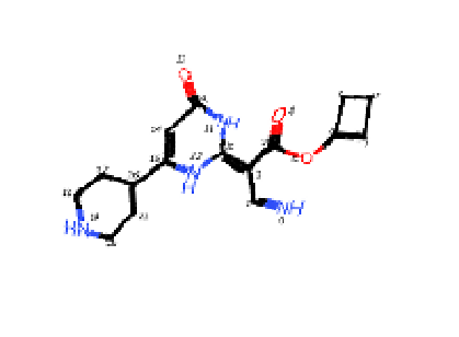 N=C/C(C(=O)OC1CCC1)=C1/NC(=O)C=C(C2CCNCC2)N1